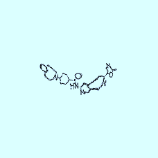 Cc1ncc(-c2cc3cc(NC(=O)C4CCC(N5CCOCC5)CC4)ncc3cn2)o1